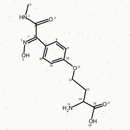 CNC(=O)/C(=N/O)c1ccc(OCCC(N)C(=O)O)cc1